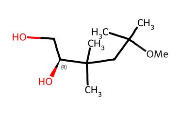 COC(C)(C)CC(C)(C)[C@@H](O)CO